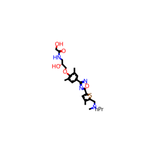 CCCN(C)Cc1sc(-c2nc(-c3cc(C)c(OC[C@H](O)CNC(=O)CO)c(C)c3)no2)cc1C